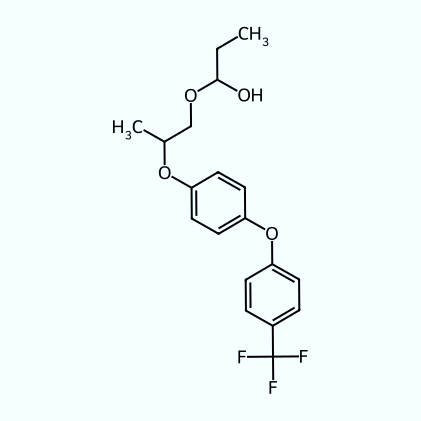 CCC(O)OCC(C)Oc1ccc(Oc2ccc(C(F)(F)F)cc2)cc1